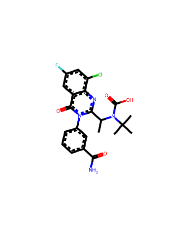 CC(c1nc2c(Cl)cc(F)cc2c(=O)n1-c1cccc(C(N)=O)c1)N(C(=O)O)C(C)(C)C